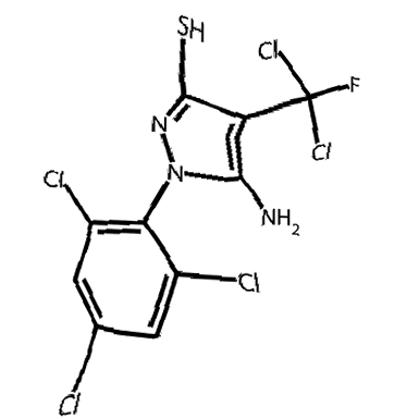 Nc1c(C(F)(Cl)Cl)c(S)nn1-c1c(Cl)cc(Cl)cc1Cl